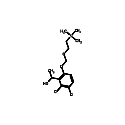 CC(O)c1c(OCOCC[Si](C)(C)C)ccc(Cl)c1Cl